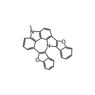 Cn1c2cccc3c4oc5ccccc5c4n4c5c6ccccc6oc5c5ccc1c(c32)c54